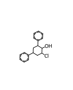 OC1C(Cl)CC(c2ccccc2)CC1c1ccccc1